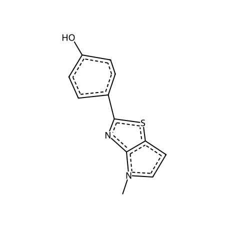 Cn1ccc2sc(-c3ccc(O)cc3)nc21